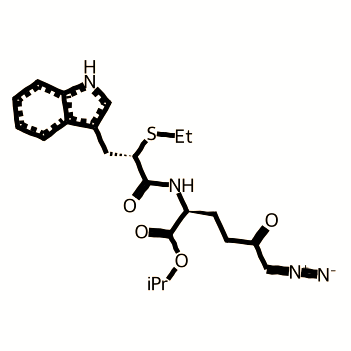 CCS[C@@H](Cc1c[nH]c2ccccc12)C(=O)N[C@@H](CCC(=O)C=[N+]=[N-])C(=O)OC(C)C